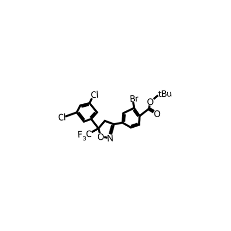 CC(C)(C)OC(=O)c1ccc(C2=NOC(c3cc(Cl)cc(Cl)c3)(C(F)(F)F)C2)cc1Br